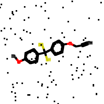 C#CCOc1ccc(C(S)(S)c2ccc(OCC)cc2)cc1